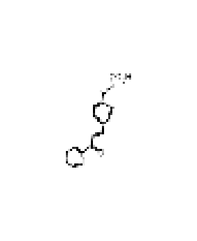 O=C(O)COc1ccc(C=CC(=O)c2ccccc2)cc1